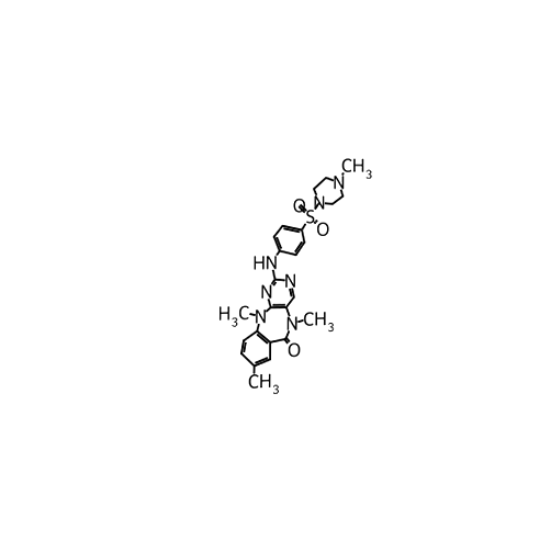 Cc1ccc2c(c1)C(=O)N(C)c1cnc(Nc3ccc(S(=O)(=O)N4CCN(C)CC4)cc3)nc1N2C